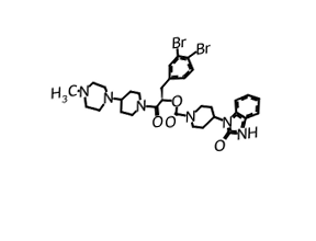 CN1CCN(C2CCN(C(=O)[C@@H](Cc3ccc(Br)c(Br)c3)OC(=O)N3CCC(n4c(=O)[nH]c5ccccc54)CC3)CC2)CC1